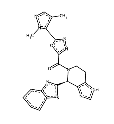 Cc1cnn(C)c1-c1nnc(C(=O)N2CCc3[nH]cnc3[C@H]2c2nc3ccccc3s2)o1